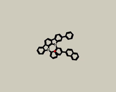 c1ccc(-c2ccc3c4ccc5c6ccccc6n(-c6ccccc6)c5c4n(-c4cccc(-c5ccc6ccccc6c5)c4)c3c2)cc1